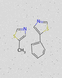 Cc1cncs1.c1ccc(-c2cncs2)cc1